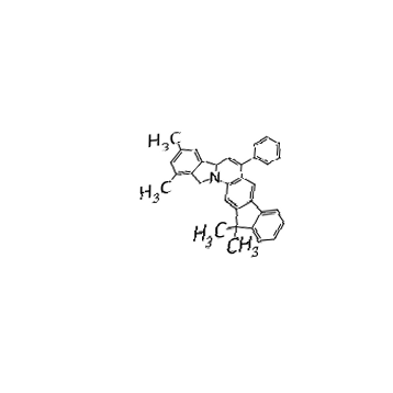 Cc1cc(C)c2c(c1)C1C=C(c3ccccc3)c3cc4c(cc3N1C2)C(C)(C)c1ccccc1-4